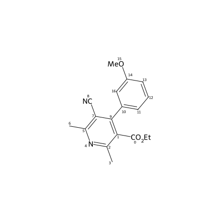 CCOC(=O)c1c(C)nc(C)c(C#N)c1-c1cccc(OC)c1